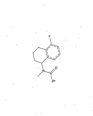 CC(C)C(=O)N(C)C1CCCc2c(F)cccc21